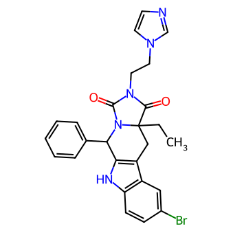 CCC12Cc3c([nH]c4ccc(Br)cc34)C(c3ccccc3)N1C(=O)N(CCn1ccnc1)C2=O